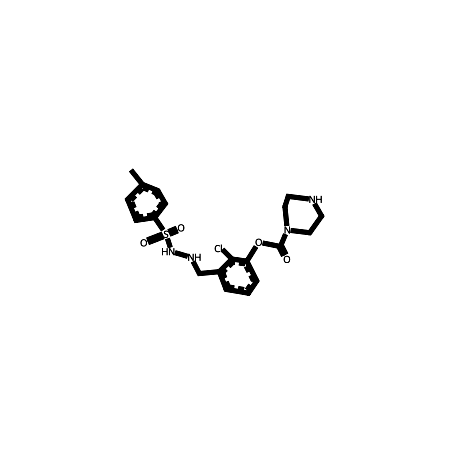 Cc1ccc(S(=O)(=O)NNCc2cccc(OC(=O)N3CCNCC3)c2Cl)cc1